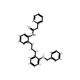 O=C(Cc1ccccn1)Nc1ccccc1CCCc1ccccc1OCc1ccccc1